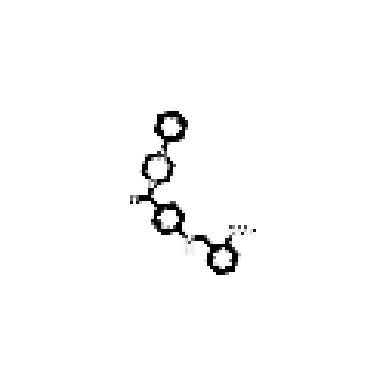 COc1ccccc1CNc1ccc(C(=O)N2CCN(c3ccccc3)CC2)cc1